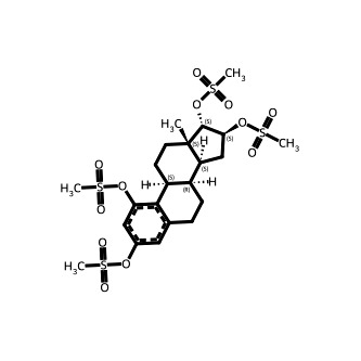 C[C@]12CC[C@@H]3c4c(cc(OS(C)(=O)=O)cc4OS(C)(=O)=O)CC[C@@H]3[C@@H]1C[C@H](OS(C)(=O)=O)[C@H]2OS(C)(=O)=O